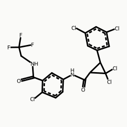 O=C(NCC(F)(F)F)c1cc(NC(=O)C2C(c3cc(Cl)cc(Cl)c3)C2(Cl)Cl)ccc1Cl